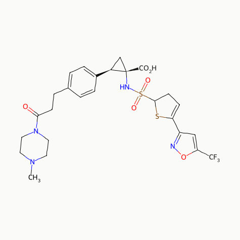 CN1CCN(C(=O)CCc2ccc([C@H]3C[C@@]3(NS(=O)(=O)C3CC=C(c4cc(C(F)(F)F)on4)S3)C(=O)O)cc2)CC1